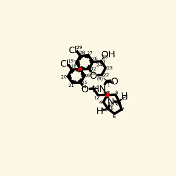 O=C(NC1C[C@H]2CC[C@@H](C1)N2CCCOc1ccc(Cl)cc1)[C@H]1C[C@@H](O)c2cc(Cl)ccc2O1